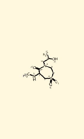 CNC1CS(=O)(=O)CCN(CC(C)O)C1=O